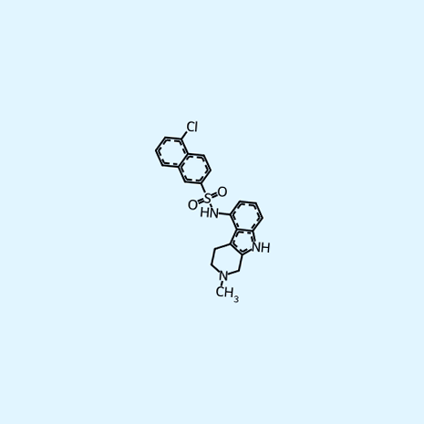 CN1CCc2c([nH]c3cccc(NS(=O)(=O)c4ccc5c(Cl)cccc5c4)c23)C1